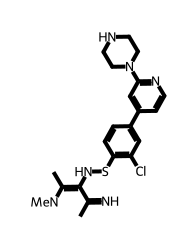 CN/C(C)=C(/NSc1ccc(-c2ccnc(N3CCNCC3)c2)cc1Cl)C(C)=N